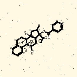 CC(=O)[C@@]1(OC(=O)c2ccccc2)C(C)C[C@H]2[C@@H]3CCC4=CCC=C[C@]4(C)[C@@]3(Cl)C(Cl)C[C@@]21C